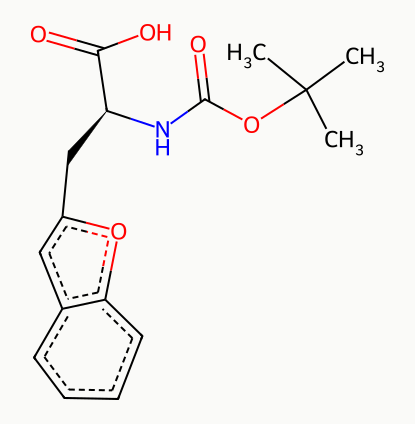 CC(C)(C)OC(=O)N[C@@H](Cc1cc2ccccc2o1)C(=O)O